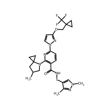 Cc1nn(C)cc1SNC(=O)c1ccc(-n2ccc(OCC3(C(F)(F)F)CC3)n2)nc1N1CC(C)CC12CC2